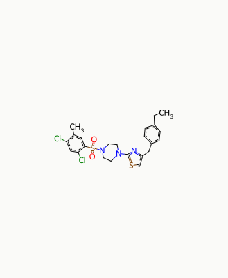 CCc1ccc(Cc2csc(N3CCN(S(=O)(=O)c4cc(C)c(Cl)cc4Cl)CC3)n2)cc1